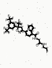 O=C(CNC(=O)c1ccc(C2=NOC(c3cc(C(F)(F)F)cc(C(F)(F)F)c3)(C(F)(F)F)C2)n2cccc12)NCCF